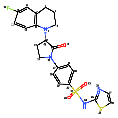 O=C1[C@@H](N2CCCc3cc(F)ccc32)CCN1c1ccc(S(=O)(=O)Nc2nccs2)cc1